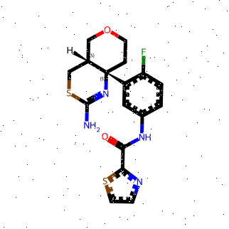 NC1=N[C@@]2(c3cc(NC(=O)c4nccs4)ccc3F)CCOC[C@H]2CS1